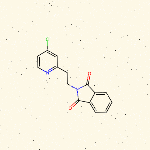 O=C1c2ccccc2C(=O)N1CCc1cc(Cl)ccn1